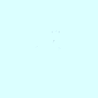 C=C(CCCC)C[C@H](Cc1ccccc1P(c1ccccc1)c1ccccc1)[C@@H](C)P(c1cc(C)cc(C)c1)c1cc(C)cc(C)c1